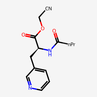 CCCC(=O)N[C@@H](Cc1cccnc1)C(=O)OCC#N